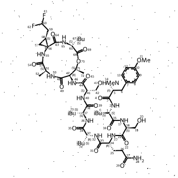 CC[C@H](C)[C@H](NC(=O)[C@@H](Cc1ccc(OC)cc1)NC)C(=O)N[C@@H](CO)C(=O)N[C@H](CCC(N)=O)C(=O)N[C@@H](C(=O)N[C@H](C(=O)N[C@@H](CO)C(=O)N[C@H]1C(=O)N[C@@H](C)C(=O)N[C@@]2(C[C@H]2CC(F)F)C(=O)N[C@@H]([C@@H](C)CC)C(=O)O[C@H]1C)[C@@H](C)CC)[C@@H](C)CC